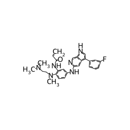 C=CC(=O)Nc1cc(Nc2cc3c(-c4cccc(F)c4)c[nH]c3cn2)ccc1N(C)CCN(C)C